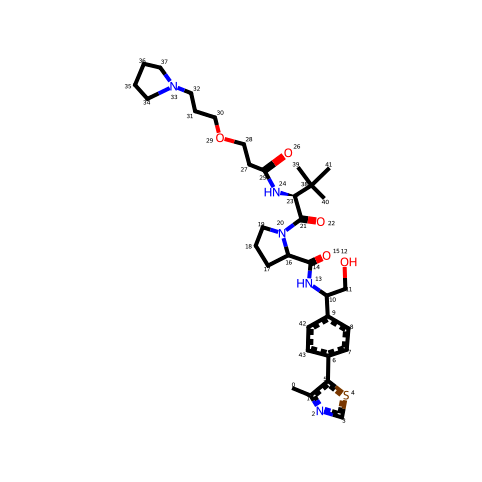 Cc1ncsc1-c1ccc(C(CO)NC(=O)C2CCCN2C(=O)[C@@H](NC(=O)CCOCCCN2CCCC2)C(C)(C)C)cc1